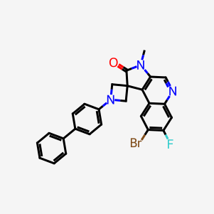 CN1C(=O)C2(CN(c3ccc(-c4ccccc4)cc3)C2)c2c1cnc1cc(F)c(Br)cc21